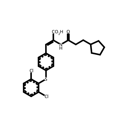 O=C(CCC1CCCC1)NC(=Cc1ccc(Sc2c(Cl)cccc2Cl)cc1)C(=O)O